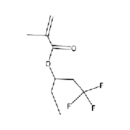 C=C(C)C(=O)OC(CC)CC(F)(F)F